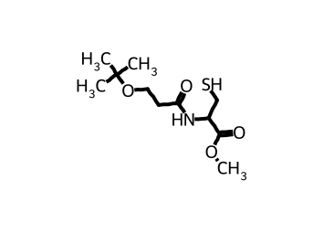 COC(=O)C(CS)NC(=O)CCOC(C)(C)C